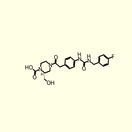 O=C(NCc1ccc(F)cc1)Nc1ccc(CC(=O)N2CCN(C(=O)O)[C@@H](CO)C2)cc1